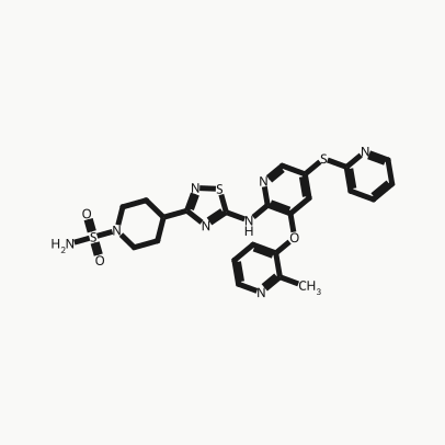 Cc1ncccc1Oc1cc(Sc2ccccn2)cnc1Nc1nc(C2CCN(S(N)(=O)=O)CC2)ns1